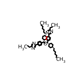 CCCCCCC[C@H]1CC[C@H](C(OC(c2ccc(-c3cnc(CCC)cn3)cc2)[C@H]2CC[C@H](CCCCCCC)CC2)c2ccc(-c3cnc(CCC)cn3)cc2)CC1